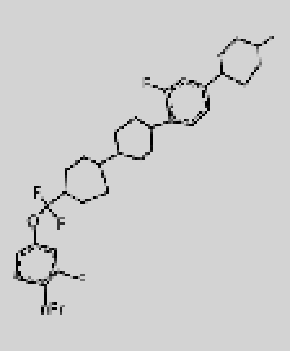 CCCc1ccc(OC(F)(F)C2CCC(C3CCC(c4ccc(C5CCC(C)CC5)cc4F)CC3)CC2)cc1F